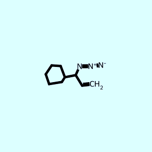 C=CC(N=[N+]=[N-])C1CCCCC1